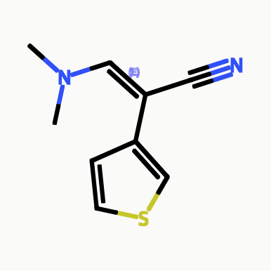 CN(C)/C=C(/C#N)c1ccsc1